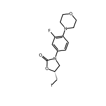 O=C1O[C@@H](CI)CN1c1ccc(N2CCOCC2)c(F)c1